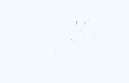 C[C@]12CC[C@@H]3c4ccc(O)cc4CC[C@H]3[C@@H]1C[C@@H](O)[C@@H]2O.O=C(O)c1ccccc1